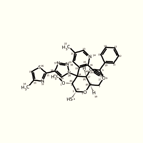 CO[C@H]1[C@@H](S)O[C@@H]2COC(c3ccccc3)O[C@@H]2C1(c1cc(C)cnc1C#N)n1cc(-c2nc(C)cs2)nn1